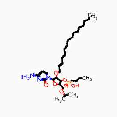 CCCCCCCCCCCCCCCCO[C@@H]1C(n2ccc(N)nc2=O)OC(COC(C)C)[C@@H]1OP(=O)(O)CCCC